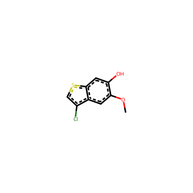 COc1cc2c(Cl)csc2cc1O